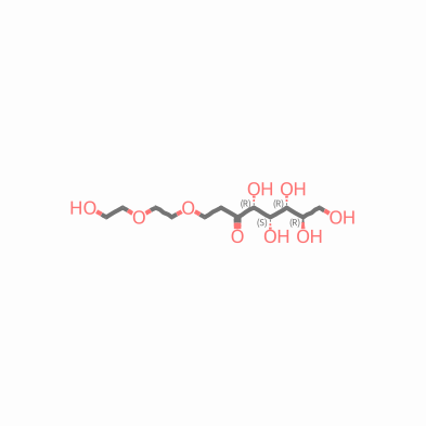 O=C(CCOCCOCCO)[C@H](O)[C@@H](O)[C@H](O)[C@H](O)CO